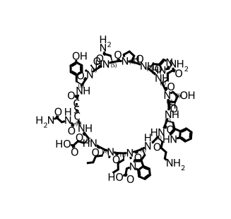 CCCC[C@H]1C(=O)N(C)[C@@H](CCCC)C(=O)N[C@@H](CCC(=O)O)C(=O)N[C@H](C(=O)NCC(N)=O)CSCC(=O)N[C@@H](Cc2ccc(O)cc2)C(=O)N(C)[C@@H](C)C(=O)N[C@@H](CC(N)=O)C(=O)N2CCC[C@H]2C(=O)N[C@@H](Cc2cnc[nH]2)C(=O)N[C@@H](CCC(N)=O)C(=O)N2C[C@H](O)C[C@H]2C(=O)N[C@@H](Cc2c[nH]c3ccccc23)C(=O)N[C@@H](CCCCN)C(=O)N[C@@H](Cc2cn(CC(=O)O)c3ccccc23)C(=O)N1C